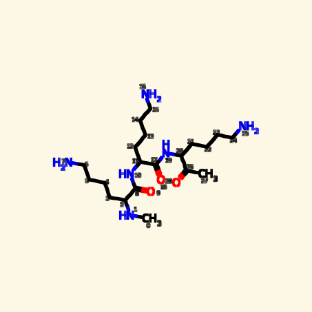 CNC(CCCCN)C(=O)NC(CCCCN)C(=O)NC(CCCCN)C(C)=O